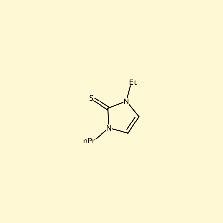 CCCn1ccn(CC)c1=S